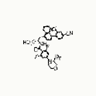 CC(C)[C@H]1COCCN1c1cc(F)c(C(=O)N[C@@H](Cc2ccc(-c3ccc(C#N)cc3Cl)c3ncccc23)C(=O)O)c(F)c1